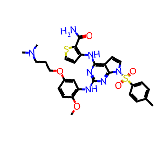 COc1ccc(OCCCN(C)C)cc1Nc1nc(Nc2ccsc2C(N)=O)c2ccn(S(=O)(=O)c3ccc(C)cc3)c2n1